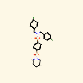 O=S(=O)(c1ccc(S(=O)(=O)N(Cc2ccc(F)cc2)Cc2ccc(F)cc2)cc1)N1CCCCC1